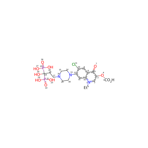 CCn1cc(OC(=O)O)c(=O)c2cc(Cl)c(N3CCN(CCC(O)(P(=O)(O)O)P(=O)(O)O)CC3)cc21